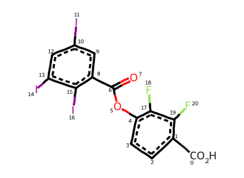 O=C(O)c1ccc(OC(=O)c2cc(I)cc(I)c2I)c(F)c1F